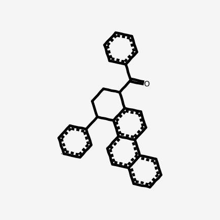 O=C(c1ccccc1)C1CCC(c2cc[c]cc2)c2c1ccc1c2ccc2ccccc21